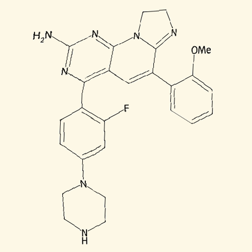 COc1ccccc1C1=Cc2c(-c3ccc(N4CCNCC4)cc3F)nc(N)nc2N2CCN=C12